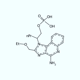 CCCC(COP(=O)(O)O)n1c(COCC)nc2c(N)nc3ccccc3c21